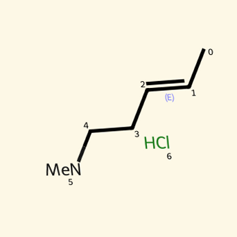 C/C=C/CCNC.Cl